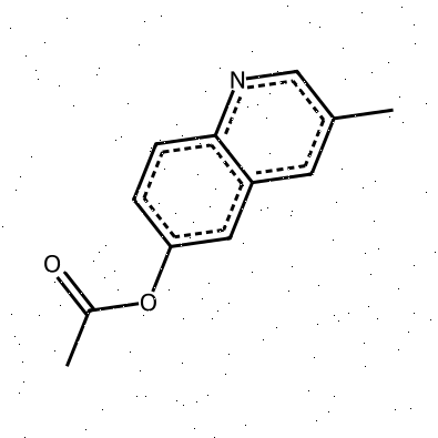 CC(=O)Oc1ccc2ncc(C)cc2c1